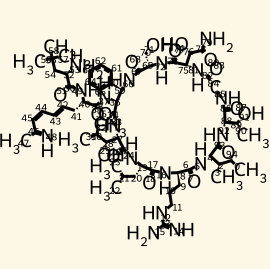 CC[C@H](C)[C@@H]1NC(=O)[C@@H](CCCNC(=N)N)NC(=O)[C@H](CC(C)C)NC(=O)[C@H]([C@H](O)C(C)C)NC(=O)[C@@H](NC(=O)[C@H](C/C=C/C=C\C(C)=N)NC(=O)[C@H](N)CC(C)(C)C)[C@@H](c2ccccc2)NC(=O)[C@H](CO)NC(=O)[C@H]([C@H](O)C(N)=O)NC(=O)CNC(=O)[C@H]([C@H](C)O)NC1=O